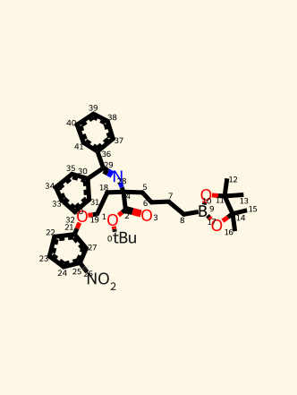 CC(C)(C)OC(=O)C(CCCCB1OC(C)(C)C(C)(C)O1)(CCOc1cccc([N+](=O)[O-])c1)N=C(c1ccccc1)c1ccccc1